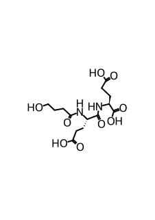 O=C(O)CC[C@H](NC(=O)[C@H](CCC(=O)O)NC(=O)CCCO)C(=O)O